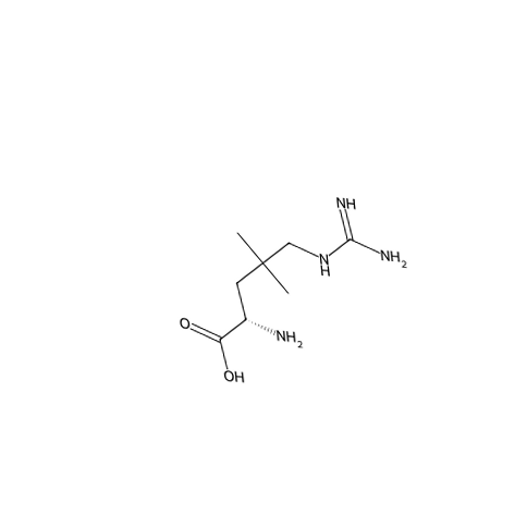 CC(C)(CNC(=N)N)C[C@H](N)C(=O)O